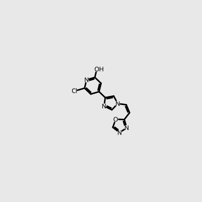 Oc1cc(-c2cn(/C=C\c3nnco3)cn2)cc(Cl)n1